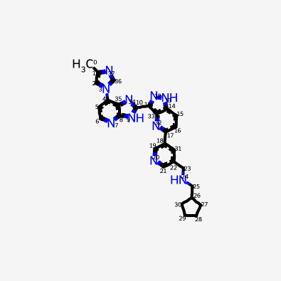 Cc1cn(-c2ccnc3[nH]c(-c4n[nH]c5ccc(-c6cncc(CNCC7CCCC7)c6)nc45)nc23)cn1